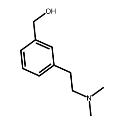 CN(C)CCc1cccc(CO)c1